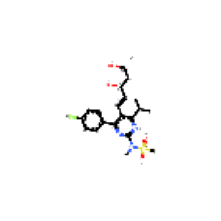 CC(C)c1nc(N(C)S(C)(=O)=O)nc(-c2ccc(F)cc2)c1/C=C/[C@@H](O)C[C@@H](C)O